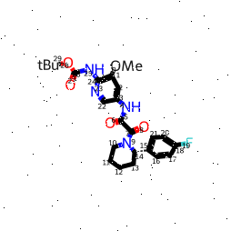 COc1cc(NC(=O)C(=O)N2CCCC[C@H]2c2ccc(F)cc2)cnc1NC(=O)OC(C)(C)C